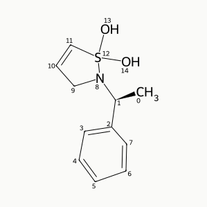 C[C@@H](c1ccccc1)N1CC=CS1(O)O